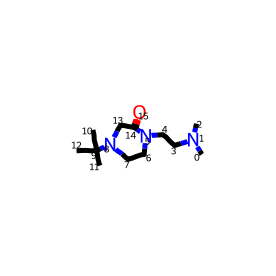 CN(C)CCN1CCN(C(C)(C)C)CC1=O